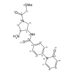 COCC(=O)N1CC(N)C(NC(=O)c2ccc(-n3ccccc3=O)cc2)C1